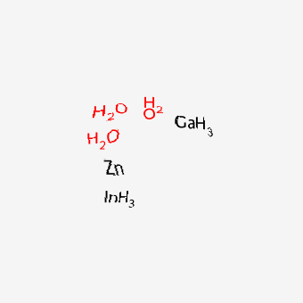 O.O.O.[GaH3].[InH3].[Zn]